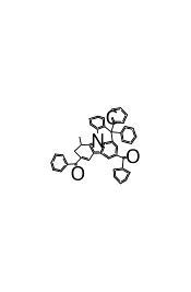 CC1CC(C(=O)c2ccccc2)=Cc2c1n1c3c(cc(C(=O)c4ccccc4)cc23)C(c2ccccc2)(c2ccccc2)c2ccccc2-1